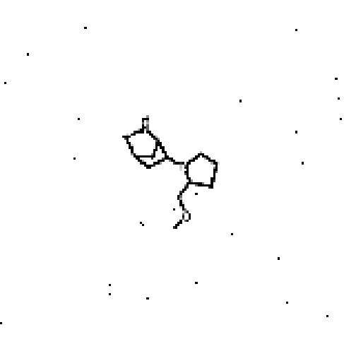 COCC1CCCN1C1CC2CNC1C2